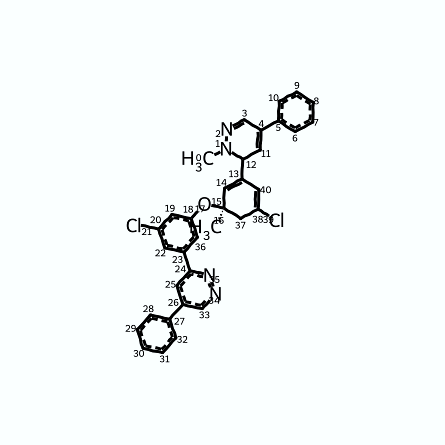 CN1N=CC(c2ccccc2)=CC1C1=C[C@](C)(Oc2cc(Cl)cc(-c3cc(-c4ccccc4)cnn3)c2)CC(Cl)=C1